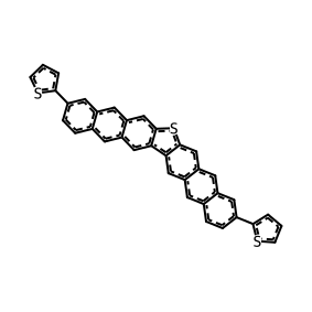 c1csc(-c2ccc3cc4cc5c(cc4cc3c2)sc2cc3cc4cc(-c6cccs6)ccc4cc3cc25)c1